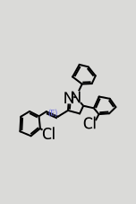 Clc1ccccc1/C=C/C1=NN(c2ccccc2)C(c2ccccc2Cl)C1